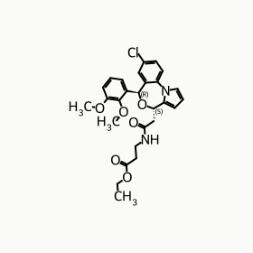 CCOC(=O)CCNC(=O)C[C@@H]1O[C@@H](c2cccc(OC)c2OC)c2cc(Cl)ccc2-n2cccc21